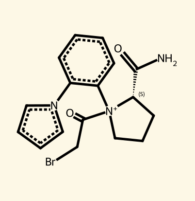 NC(=O)[C@@H]1CCC[N+]1(C(=O)CBr)c1ccccc1-n1cccc1